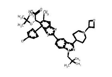 Cc1cc2nc(-c3ccc4c(c3)c(C3CCN(C5COC5)CC3)nn4CC(C)(C)C)sc2c(-c2ccc(Cl)cc2)c1[C@H](OC(C)(C)C)C(=O)O